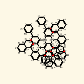 c1ccc(-c2ccc3c(c2)B2c4cc(-c5ccccc5)ccc4N(c4c(-c5cccc6ccccc56)cccc4-c4cccc5ccccc45)c4cc(C5(c6ccccc6)c6ccccc6-c6ccccc65)cc(c42)N3c2c(-c3cccc4ccccc34)cccc2-c2cccc3ccccc23)cc1